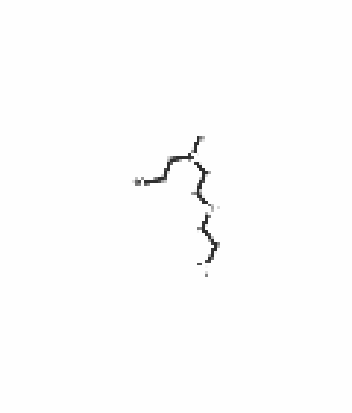 CN(CCO)CCOCCO